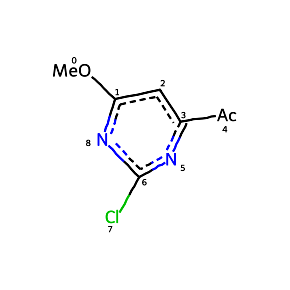 COc1cc(C(C)=O)nc(Cl)n1